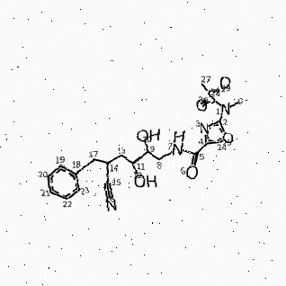 CN(c1nc(C(=O)NCC(O)C(O)CC(C#N)Cc2ccccc2)co1)S(C)(=O)=O